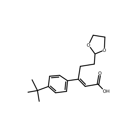 CC(C)(C)c1ccc(/C(=C/C(=O)O)CCC2OCCO2)cc1